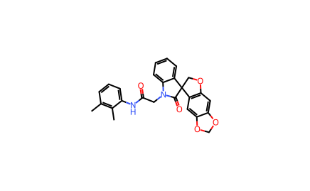 Cc1cccc(NC(=O)CN2C(=O)C3(COc4cc5c(cc43)OCO5)c3ccccc32)c1C